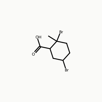 CC1(Br)CCC(Br)CC1C(=O)O